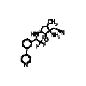 CC1C[C@H](NC(c2cccc(-c3ccncc3)c2)C(F)(F)F)C(=O)C1(N)CC#N